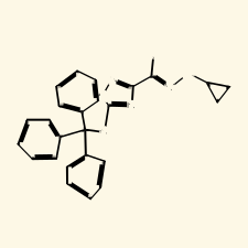 O=C(O)C(=NOC1CC1)c1nsc(NC(c2ccccc2)(c2ccccc2)c2ccccc2)n1